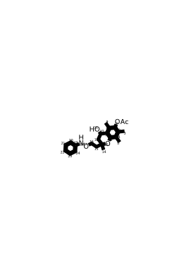 CC(=O)Oc1c(C)c(C)c2c(c1C)C(O)CC(C)(CCONc1ccccc1)O2